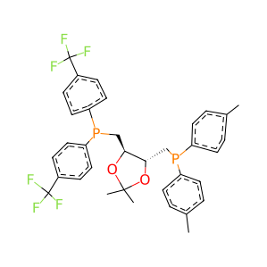 Cc1ccc(P(C[C@@H]2OC(C)(C)O[C@H]2CP(c2ccc(C(F)(F)F)cc2)c2ccc(C(F)(F)F)cc2)c2ccc(C)cc2)cc1